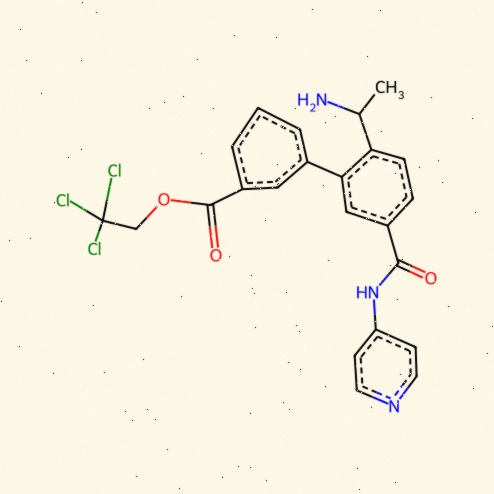 CC(N)c1ccc(C(=O)Nc2ccncc2)cc1-c1cccc(C(=O)OCC(Cl)(Cl)Cl)c1